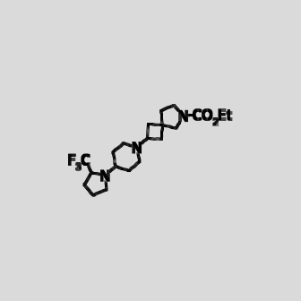 CCOC(=O)N1CCC2(CC(N3CCC(N4CCCC4C(F)(F)F)CC3)C2)C1